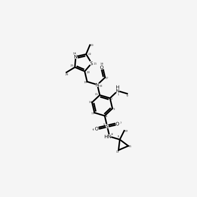 CNc1cc(S(=O)(=O)NC2(C)CC2)ccc1N(C=O)Cc1sc(C)nc1C